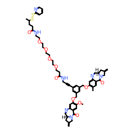 C=C1C[C@H]2C=Nc3cc(OCc4cc(C#CCNC(=O)CCOCCOCCOCCOCCNC(=O)CCC(C)SSc5ccccn5)cc(COc5cc6c(cc5OC)C(=O)N5CC(=C)C[C@H]5C=N6)c4)c(C)cc3C(=O)N2C1